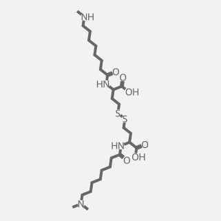 CNCCCCCCCC(=O)NC(CCSSCCC(NC(=O)CCCCCCCN(C)C)C(=O)O)C(=O)O